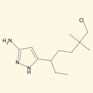 CCC(CCC(C)(C)CCl)c1cc(N)n[nH]1